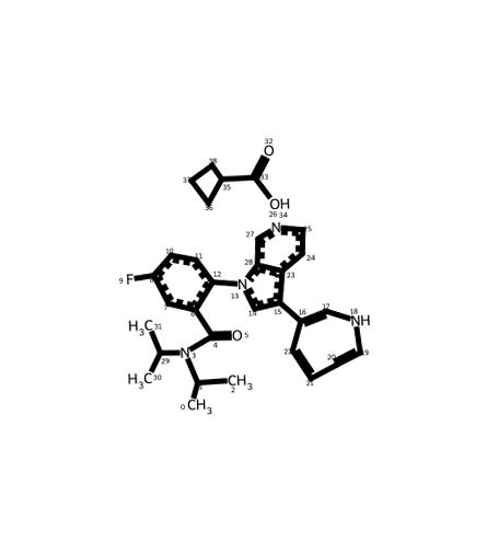 CC(C)N(C(=O)c1cc(F)ccc1-n1cc(C2=CNC=CC=C2)c2ccncc21)C(C)C.O=C(O)C1CCC1